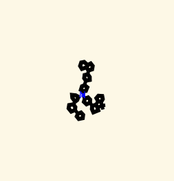 CC1(C)c2ccccc2-c2c(-c3ccc(N(c4ccc(-c5ccc(-c6cccc7ccccc67)cc5)cc4)c4cccc(-c5cccc(-c6ccccc6)c5)c4)cc3)cccc21